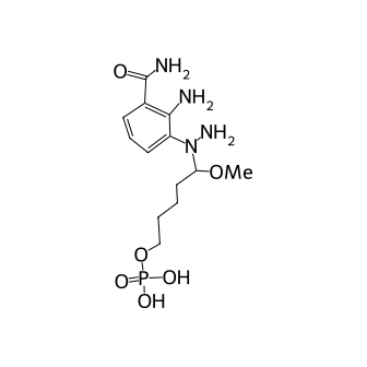 COC(CCCCOP(=O)(O)O)N(N)c1cccc(C(N)=O)c1N